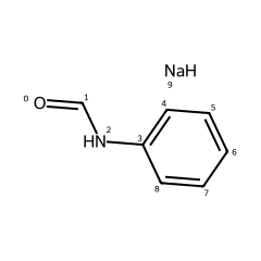 O=CNc1ccccc1.[NaH]